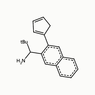 CC(C)(C)C(N)c1cc2ccccc2cc1C1=CC=CC1